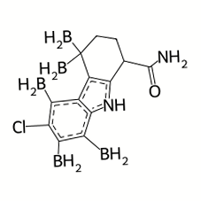 Bc1c(Cl)c(B)c2c3c([nH]c2c1B)C(C(N)=O)CCC3(B)B